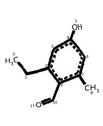 CCc1cc(O)cc(C)c1C=O